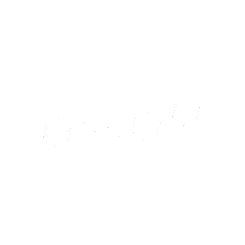 Fc1ccc(CCCCN2CCN(c3ccc(Cl)cc3)CC2)cc1